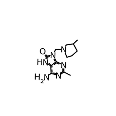 Cc1nc(N)c2[nH]c(=O)n(CN3CCCC(C)C3)c2n1